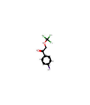 O=C(COC(F)(F)F)c1ccc(I)cc1